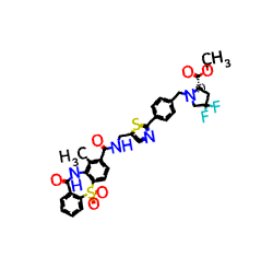 COC(=O)[C@@H]1CC(F)(F)CN1Cc1ccc(-c2ncc(CNC(=O)c3ccc4c(c3C)NC(=O)c3ccccc3S4(=O)=O)s2)cc1